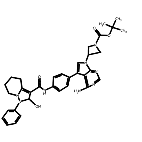 CC(C)(C)OC(=O)N1CC(n2cc(-c3ccc(NC(=O)C4=C5CCCCN5N(c5ccccc5)C4O)cc3)c3c(N)ncnc32)C1